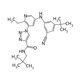 CCc1ncc(Nc2cc(C#N)cc(C(C)(C)C)c2)cc1-n1cc(C(=O)NCC(C)(C)C)nn1